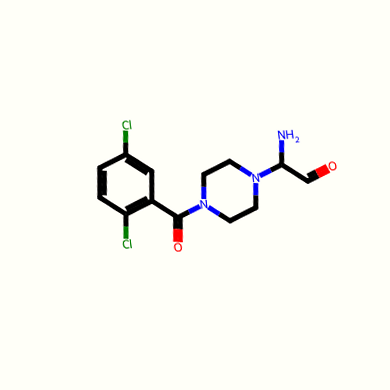 NC(C=O)N1CCN(C(=O)c2cc(Cl)ccc2Cl)CC1